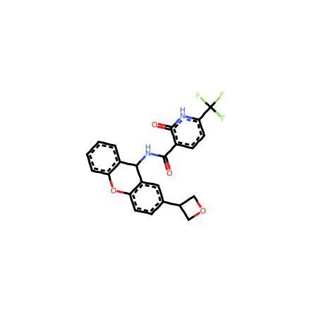 O=C(NC1c2ccccc2Oc2ccc(C3COC3)cc21)c1ccc(C(F)(F)F)[nH]c1=O